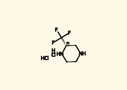 Cl.Cl.FC(F)(F)[C@@H]1CNCCN1